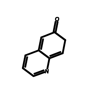 O=C1C=c2cccnc2=CC1